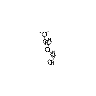 Cc1cc(C)cc(-c2cnn3c(-c4cccc(-c5nnn(Cc6ccccn6)n5)c4)ccnc23)c1